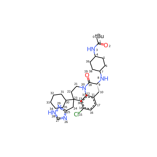 CC(C)(C)C(=O)NC1CCC(N[C@H](Cc2ccc(Cl)cc2)C(=O)N2CCC(Cc3nc[nH]n3)(C3CCCCC3)CC2)CC1